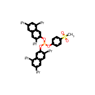 CC(C)c1cc(C(C)C)c2cc(OP(Oc3ccc(S(C)(=O)=O)cc3)Oc3cc4c(C(C)C)cc(C(C)C)cc4cc3C(C)C)c(C(C)C)cc2c1